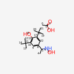 CC(=O)O.CC(NO)c1cc(C(C)(C)C)c(O)c(C(C)(C)C)c1